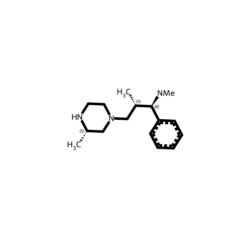 [CH2-][NH2+][C@@H](c1ccccc1)[C@@H](C)CN1CCN[C@@H](C)C1